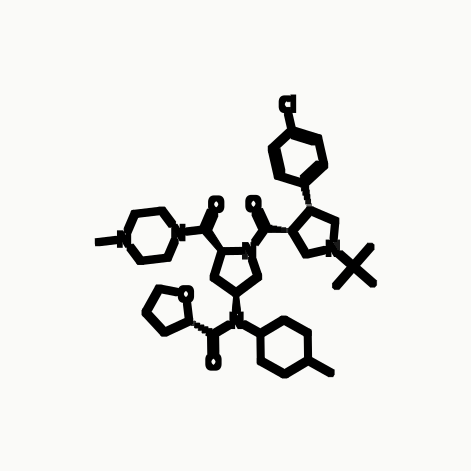 CC1CCC(N(C(=O)[C@@H]2CCCO2)[C@H]2C[C@@H](C(=O)N3CCN(C)CC3)N(C(=O)[C@H]3CN(C(C)(C)C)C[C@H]3c3ccc(Cl)cc3)C2)CC1